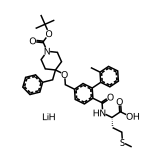 CSCC[C@H](NC(=O)c1ccc(COC2(Cc3ccccc3)CCN(C(=O)OC(C)(C)C)CC2)cc1-c1ccccc1C)C(=O)O.[LiH]